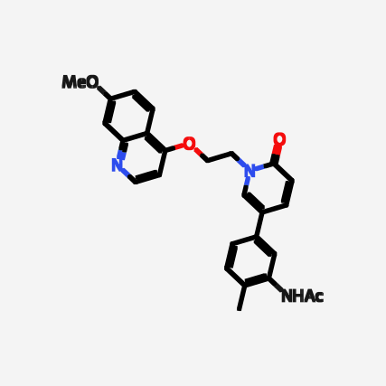 COc1ccc2c(OCCn3cc(-c4ccc(C)c(NC(C)=O)c4)ccc3=O)ccnc2c1